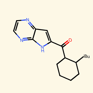 CCC(C)C1CCCCC1C(=O)c1cc2nccnc2[nH]1